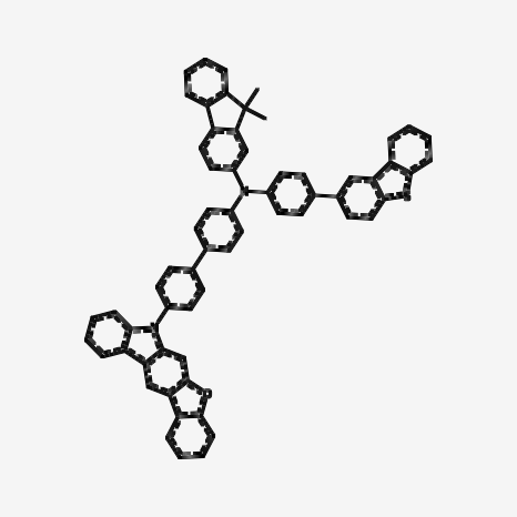 CC1(C)c2ccccc2-c2ccc(N(c3ccc(-c4ccc(-n5c6ccccc6c6cc7c(cc65)oc5ccccc57)cc4)cc3)c3ccc(-c4ccc5sc6ccccc6c5c4)cc3)cc21